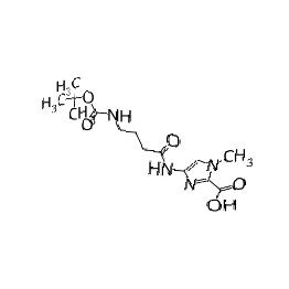 Cn1cc(NC(=O)CCCNC(=O)OC(C)(C)C)nc1C(=O)O